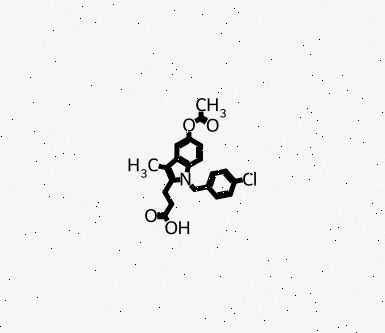 CC(=O)Oc1ccc2c(c1)c(C)c(CCC(=O)O)n2Cc1ccc(Cl)cc1